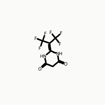 O=C1CC(=O)NC(=C(C(F)(F)F)C(F)(F)F)N1